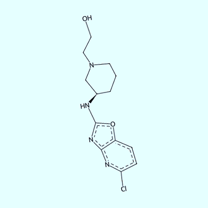 OCCN1CCC[C@@H](Nc2nc3nc(Cl)ccc3o2)C1